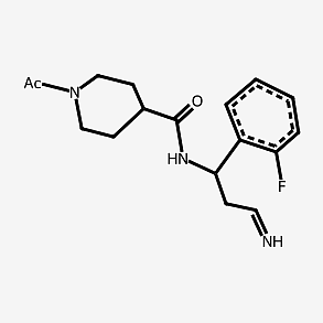 CC(=O)N1CCC(C(=O)NC(CC=N)c2ccccc2F)CC1